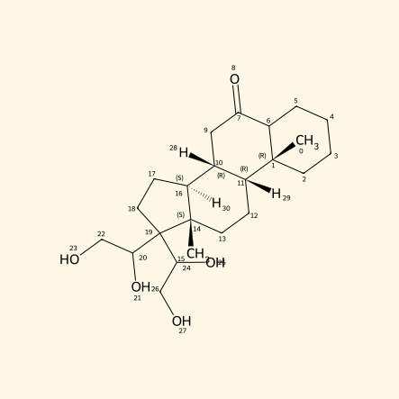 C[C@]12CCCCC1C(=O)C[C@@H]1[C@H]2CC[C@@]2(C)[C@H]1CCC2(C(O)CO)C(O)CO